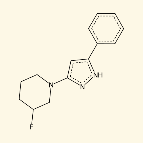 FC1CCCN(c2cc(-c3ccccc3)[nH]n2)C1